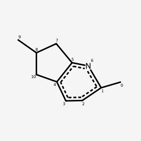 Cc1ccc2c(n1)CC(C)C2